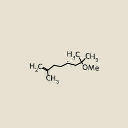 C=C(C)CC[CH]CC(C)(C)OC